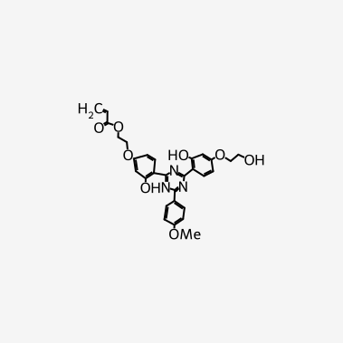 C=CC(=O)OCCOc1ccc(-c2nc(-c3ccc(OC)cc3)nc(-c3ccc(OCCO)cc3O)n2)c(O)c1